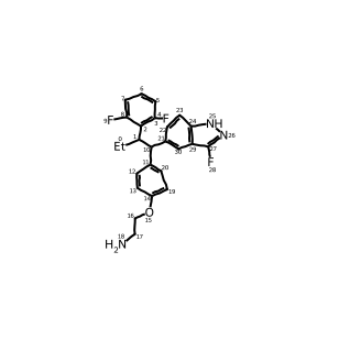 CCC(c1c(F)cccc1F)C(c1ccc(OCCN)cc1)c1ccc2[nH]nc(F)c2c1